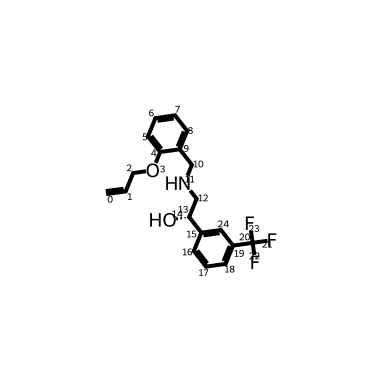 C=CCOc1ccccc1CNC[C@@H](O)c1cccc(C(F)(F)F)c1